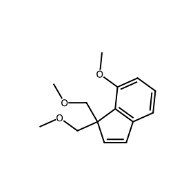 COCC1(COC)C=Cc2cccc(OC)c21